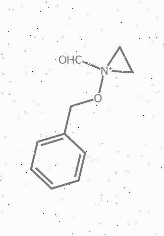 O=C[N+]1(OCc2ccccc2)CC1